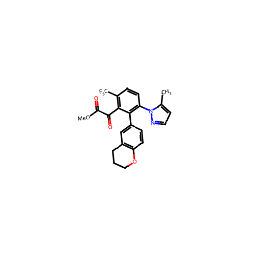 COC(=O)C(=O)c1c(C(F)(F)F)ccc(-n2nccc2C)c1-c1ccc2c(c1)CCCO2